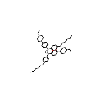 CCCCCCc1ccc(C(OC(c2ccc(CCCCCC)cc2)c2ccc([C@H]3CC[C@H](CC)CC3)cc2)c2ccc([C@H]3CC[C@H](CC)CC3)cc2)cc1